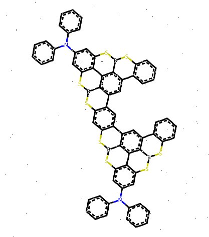 c1ccc(N(c2ccccc2)c2cc3c4c(c2)SB2Sc5cc6c(cc5-c5cc7c(c-4c52)B(Sc2ccccc2-7)S3)-c2cc3c4c5c2B(S6)Sc2cc(N(c6ccccc6)c6ccccc6)cc(c2-5)SB4Sc2ccccc2-3)cc1